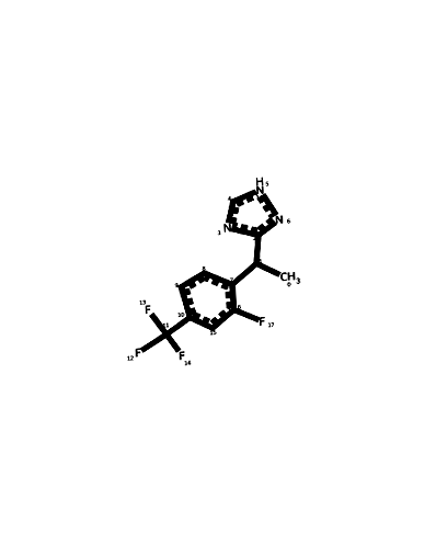 CC(c1nc[nH]n1)c1ccc(C(F)(F)F)cc1F